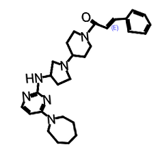 O=C(/C=C/c1ccccc1)N1CCC(N2CCC(Nc3nccc(N4CCCCCC4)n3)C2)CC1